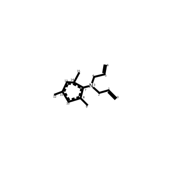 C=CCN(CC=C)c1c(C)cc(C)cc1C